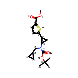 COC(=O)c1ccc(C2CC2N(CC2CC2)C(=O)OC(C)(C)C)s1